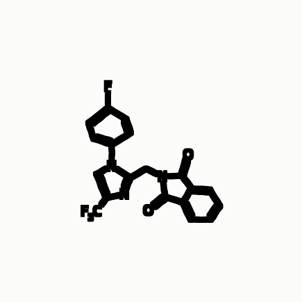 O=C1c2ccccc2C(=O)N1Cc1nc(C(F)(F)F)cn1-c1ccc(F)cc1